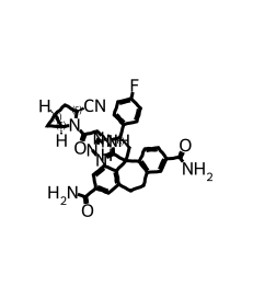 N#C[C@@H]1C[C@@H]2C[C@@H]2N1C(=O)CN[C@H](CC1(c2nnn[nH]2)c2ccc(C(N)=O)cc2CCc2cc(C(N)=O)ccc21)c1ccc(F)cc1